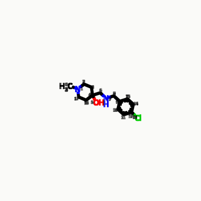 CN1CCC(O)(CNCc2ccc(Cl)cc2)CC1